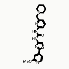 COc1cc(-c2nc(NC(=O)Nc3cccc(CN4CCCCC4)n3)cs2)ccn1